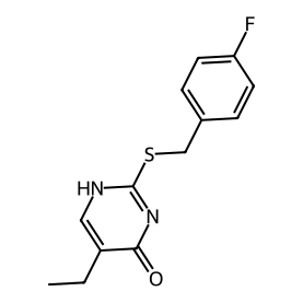 CCc1c[nH]c(SCc2ccc(F)cc2)nc1=O